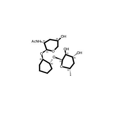 CC(=O)N[C@@H]1C[C@@H](O)CO[C@H]1O[C@@H]1CCCC[C@H]1O[C@@H]1O[C@@H](C)C[C@@H](O)[C@@H]1O